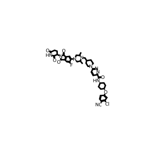 CC1CN(c2cc3c(cc2F)C(=O)N(C2CCC(=O)NC2=O)C3=O)CC(C)N1CC1CCN(c2ccc(C(=O)N[C@H]3CC[C@H](Oc4ccc(C#N)c(Cl)c4)CC3)nn2)CC1